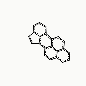 C1=Cc2c3ccc4cccc5ccc(c6cccc1c26)c3c45